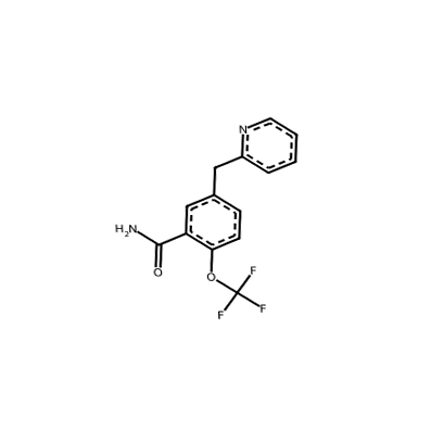 NC(=O)c1cc(Cc2ccccn2)ccc1OC(F)(F)F